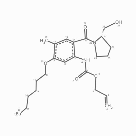 C=CCOC(=O)Nc1cc(OCCCCCC(C)(C)C)c(C)cc1C(=O)N1CCC[C@H]1CO